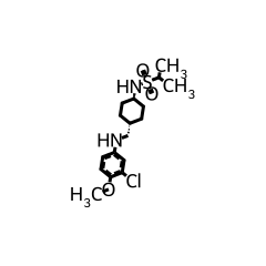 COc1ccc(NC[C@H]2CC[C@H](NS(=O)(=O)C(C)C)CC2)cc1Cl